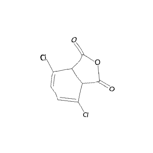 O=C1OC(=O)C2C(Cl)=CC=C(Cl)C12